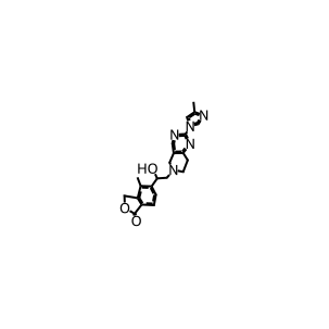 Cc1cn(-c2ncc3c(n2)CCN(CC(O)c2ccc4c(c2C)COC4=O)C3)cn1